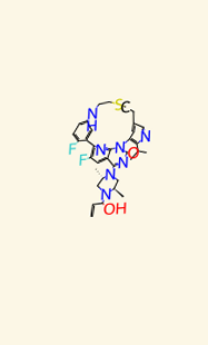 C=CC(O)N1C[C@H](C)N(c2nc(=O)n3c4nc(c(F)cc24)-c2cc(ccc2F)NCCSCCc2cnc(C(C)C)c-3c2)C[C@H]1C